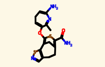 CC1=NC(N)=CCC=C1OC1=C2CC(=C(C(N)=O)S1)CCc1cnsc12